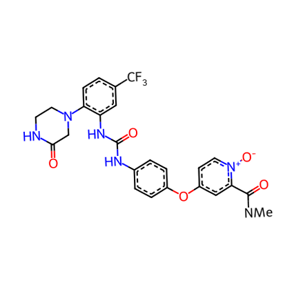 CNC(=O)c1cc(Oc2ccc(NC(=O)Nc3cc(C(F)(F)F)ccc3N3CCNC(=O)C3)cc2)cc[n+]1[O-]